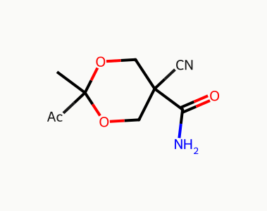 CC(=O)C1(C)OCC(C#N)(C(N)=O)CO1